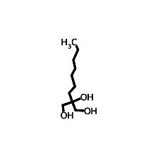 CCCCCCCC(O)(CO)CO